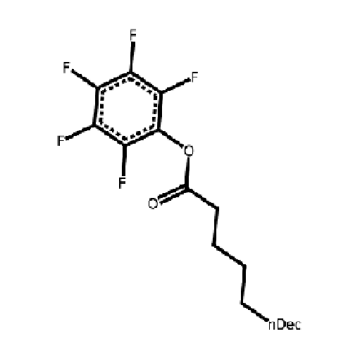 CCCCCCCCCCCCCCC(=O)Oc1c(F)c(F)c(F)c(F)c1F